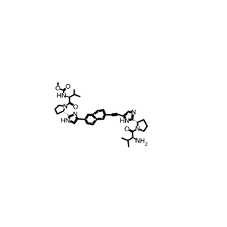 COC(=O)N[C@H](C(=O)N1CCC[C@H]1c1nc(-c2ccc3cc(C#Cc4cnc([C@@H]5CCCN5C(=O)[C@@H](N)C(C)C)[nH]4)ccc3c2)c[nH]1)C(C)C